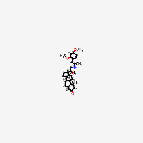 COc1ccc(CC(C)NCC(=O)[C@@]2(O)CC[C@H]3[C@@H]4CCC5=CC(=O)CC[C@]5(C)C4=CC[C@@]32C)c(OC)c1